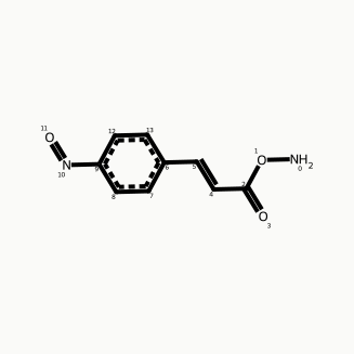 NOC(=O)/C=C/c1ccc(N=O)cc1